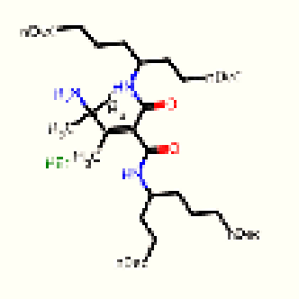 Br.CCCCCCCCCCCCCC(CCCCCCCCCCCC)NC(=O)C(C(=O)NC(CCCCCCCCCCCC)CCCCCCCCCCCCC)=C(C)C(C)(C)N